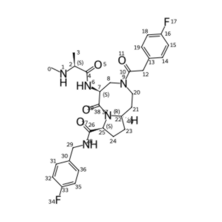 CN[C@@H](C)C(=O)N[C@H]1CN(C(=O)Cc2ccc(F)cc2)CC[C@H]2CC[C@@H](C(=O)NCc3ccc(F)cc3)N2C1=O